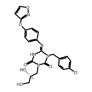 O=c1[nH]/c(=N\c2ccc(Oc3ccon3)cc2)n(Cc2ccc(Cl)cc2)c(=O)n1C[C@@H](O)CO